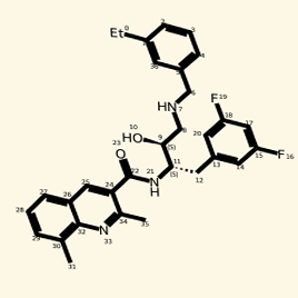 CCc1cccc(CNC[C@H](O)[C@H](Cc2cc(F)cc(F)c2)NC(=O)c2cc3cccc(C)c3nc2C)c1